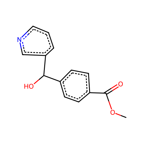 COC(=O)c1ccc(C(O)c2cccnc2)cc1